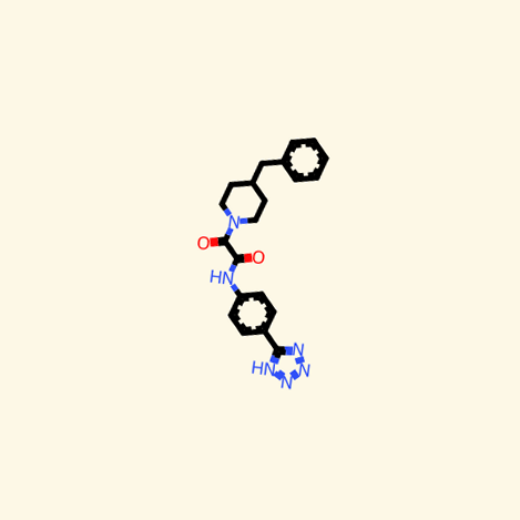 O=C(Nc1ccc(-c2nnn[nH]2)cc1)C(=O)N1CCC(Cc2ccccc2)CC1